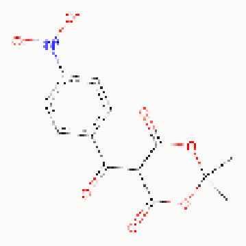 CC1(C)OC(=O)C(C(=O)c2ccc([N+](=O)[O-])cc2)C(=O)O1